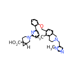 Cc1c(COc2ccccc2-c2cccc(N3CC[C@@]4(C(=O)O)C[C@H]4C3)n2)ccc2c1CCN(Cc1cncn1C)C2